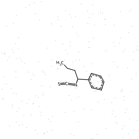 CCCC(N=C=S)c1ccccc1